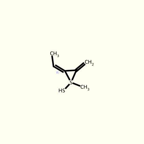 C=C1/C(=C\C)S1(C)S